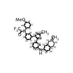 COc1cccc(N(C(=O)C(F)(F)F)c2cccc(-c3nc(C)sc3-c3ccnc(Nc4ccc5c(c4)CN(C)CC5)n3)c2)c1